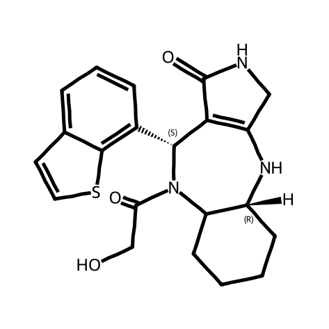 O=C1NCC2=C1[C@@H](c1cccc3ccsc13)N(C(=O)CO)C1CCCC[C@H]1N2